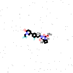 CC(C)(C)OC(=O)N1[C@@H]2CC[C@@H](C2)[C@H]1C(=O)N[C@H](C#N)Cc1ccc(-c2ccc(=O)n(CC(F)F)c2)cc1F